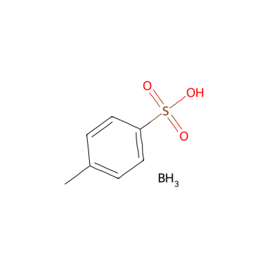 B.Cc1ccc(S(=O)(=O)O)cc1